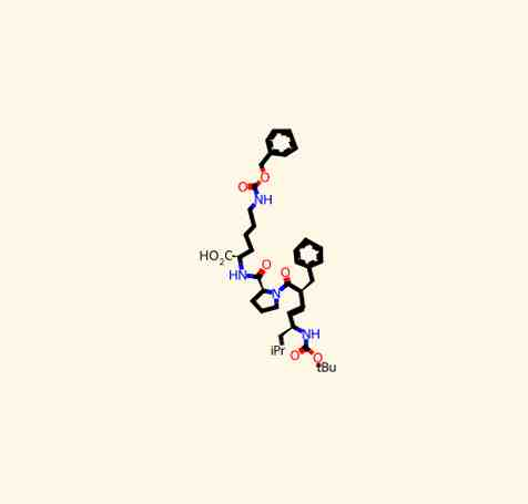 CC(C)C[C@@H](/C=C/[C@H](Cc1ccccc1)C(=O)N1CCC[C@H]1C(=O)N[C@@H](CCCCNC(=O)OCc1ccccc1)C(=O)O)NC(=O)OC(C)(C)C